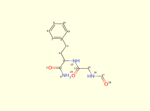 NC(=O)C(CCc1ccccc1)NC(=O)CNC=O